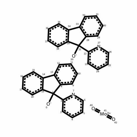 [O-]C1(c2ccccn2)c2ccccc2-c2ccccc21.[O-]C1(c2ccccn2)c2ccccc2-c2ccccc21.[O]=[Mo+2]=[O]